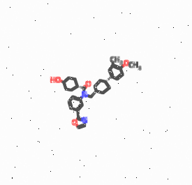 COc1ccc([C@H]2CC[C@H](CN(c3cccc(-c4ncco4)c3)C(=O)[C@H]3CC[C@H](O)CC3)CC2)cc1C